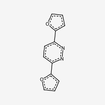 c1coc(-c2ccc(-c3ccco3)nn2)c1